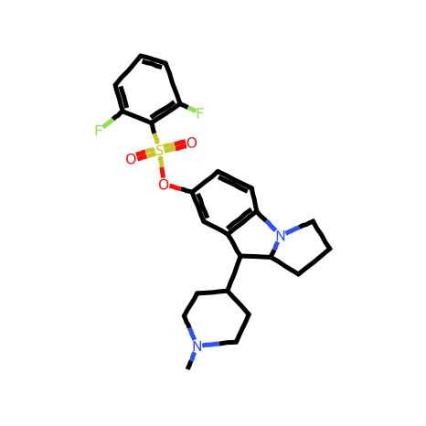 CN1CCC(C2c3cc(OS(=O)(=O)c4c(F)cccc4F)ccc3N3CCCC23)CC1